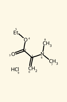 C=C(C(=O)OCC)N(C)C.Cl